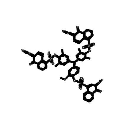 COc1cc(C(c2cc(C)c(OS(=O)(=O)c3cccc4c3C=CC(=[N+]=[N-])C4=O)c(C)c2)c2cc(C)c(OS(=O)(=O)c3cccc4c3C=CC(=[N+]=[N-])C4=O)c(C)c2)ccc1OS(=O)(=O)C1=CC(=[N+]=[N-])C(=O)c2ccccc21